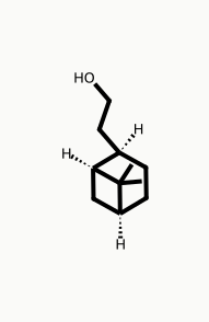 CC1(C)[C@H]2CC[C@H](CCO)[C@@H]1C2